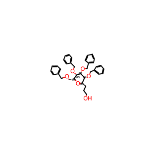 OCCC[C@H]1O[C@H](COCc2ccccc2)[C@@H](OCc2ccccc2)[C@H](OCc2ccccc2)[C@@H]1OCc1ccccc1